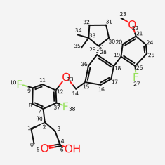 CC[C@H](CC(=O)O)c1cc(F)cc(OCc2ccc(-c3cc(OC)ccc3F)c([C@H]3CCCC3(C)C)c2)c1F